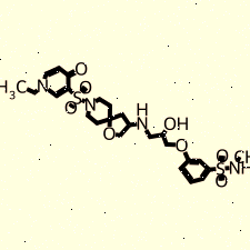 CCn1ccc(=O)c(S(=O)(=O)N2CCC3(CC2)CC(NCC(O)COc2cccc(S(=O)(=O)NC)c2)CO3)c1